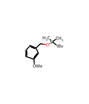 COc1cccc(CO[Si](C)(C)C(C)(C)C)c1